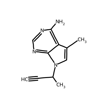 C#CC(C)n1cc(C)c2c(N)ncnc21